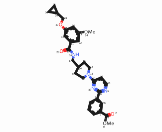 COC(=O)c1cccc(-c2nccc(N3CCC(CNC(=O)c4cc(OC)cc(OCC5CC5)c4)CC3)n2)c1